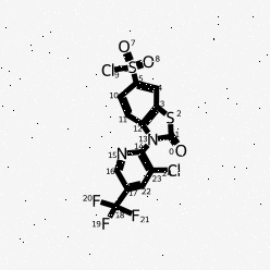 O=c1sc2cc(S(=O)(=O)Cl)ccc2n1-c1ncc(C(F)(F)F)cc1Cl